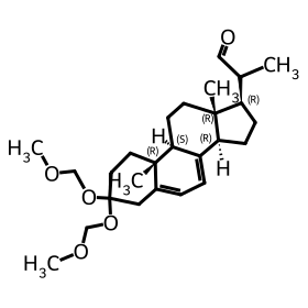 COCOC1(OCOC)CC[C@@]2(C)C(=CC=C3[C@@H]4CC[C@H](C(C)C=O)[C@@]4(C)CC[C@@H]32)C1